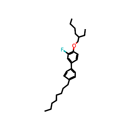 CCCCCCCCc1ccc(-c2ccc(OCC(CC)CCCC)c(F)c2)cc1